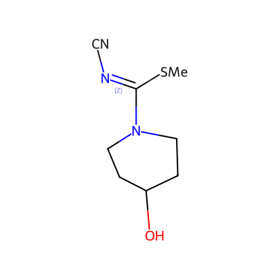 CS/C(=N\C#N)N1CCC(O)CC1